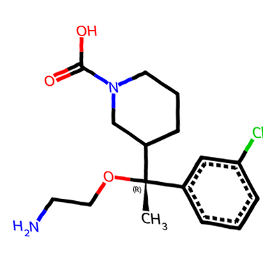 C[C@](OCCN)(c1cccc(Cl)c1)C1CCCN(C(=O)O)C1